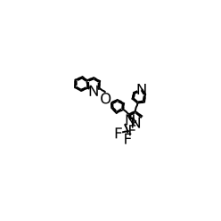 FC(F)(F)Cn1ncc(-c2ccncc2)c1-c1ccc(OCc2ccc3ccccc3n2)cc1